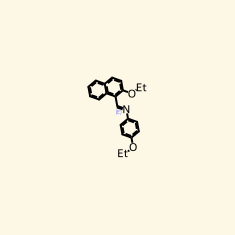 CCOc1ccc(/N=C/c2c(OCC)ccc3ccccc23)cc1